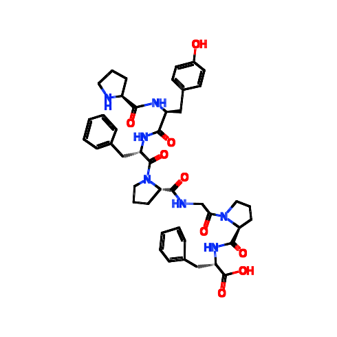 O=C(O)[C@H](Cc1ccccc1)NC(=O)[C@@H]1CCCN1C(=O)CNC(=O)[C@@H]1CCCN1C(=O)[C@H](Cc1ccccc1)NC(=O)[C@H](Cc1ccc(O)cc1)NC(=O)[C@@H]1CCCN1